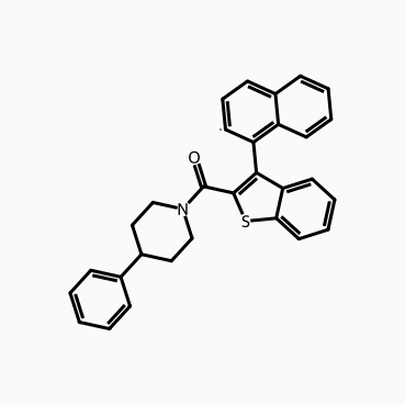 O=C(c1sc2ccccc2c1-c1[c]ccc2ccccc12)N1CCC(c2ccccc2)CC1